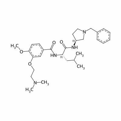 COc1ccc(C(=O)N[C@@H](CC(C)C)C(=O)N[C@H]2CCN(Cc3ccccc3)C2)cc1OCCN(C)C